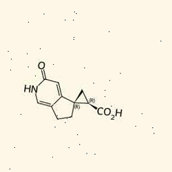 O=C(O)[C@@H]1C[C@]12CCc1c[nH]c(=O)cc12